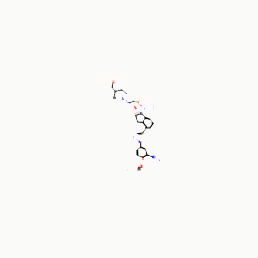 CC(C)Oc1ccc(-c2ncc(-c3cccc4c3CC[C@H]4NS(=O)(=O)CCN3CCC(CC(=O)O)CC3)s2)cc1C#N